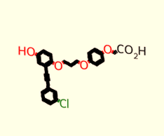 O=C(O)COc1ccc(OCCCOc2ccc(O)cc2C#Cc2cccc(Cl)c2)cc1